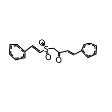 O=C(/C=C/c1ccccc1)CS(=O)(=O)/C=C/c1ccccc1